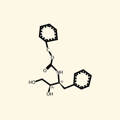 O=C(N[C@@H](Cc1ccccc1)[C@@H](O)CO)OCc1ccccc1